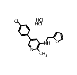 Cc1ncc(-c2ccc(Cl)cc2)cc1NCc1ccco1.Cl.Cl